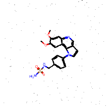 COc1cc2ncc3ccn(-c4ccc(CNS(N)(=O)=O)cc4)c3c2cc1OC